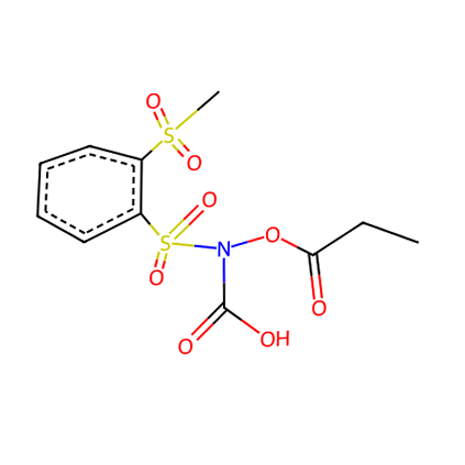 CCC(=O)ON(C(=O)O)S(=O)(=O)c1ccccc1S(C)(=O)=O